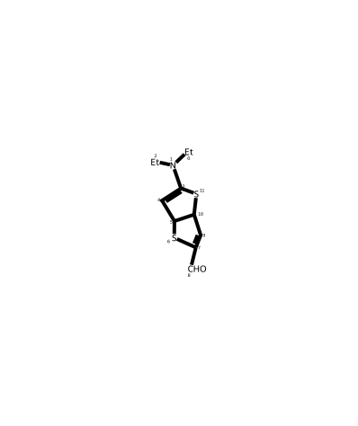 CCN(CC)C1=CC2SC(C=O)=CC2S1